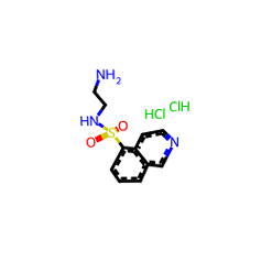 Cl.Cl.NCCNS(=O)(=O)c1cccc2cnccc12